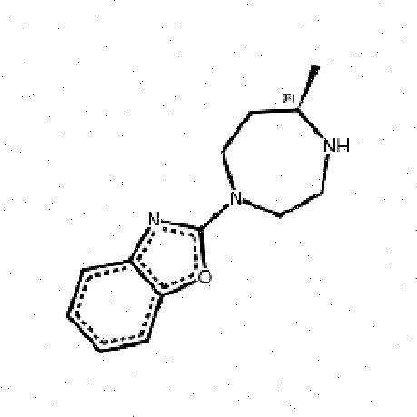 C[C@@H]1CCN(c2nc3ccccc3o2)CCN1